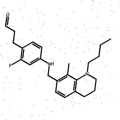 CCCCN1CCCc2ccc(CNc3ccc(CCC=O)c(F)c3)c(C)c21